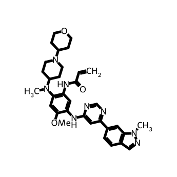 C=CC(=O)Nc1cc(Nc2cc(-c3ccc4cnn(C)c4c3)ncn2)c(OC)cc1N(C)C1CCN(C2CCOCC2)CC1